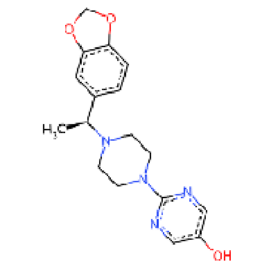 C[C@@H](c1ccc2c(c1)OCO2)N1CCN(c2ncc(O)cn2)CC1